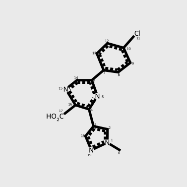 Cn1cc(-c2nc(-c3ccc(Cl)cc3)cnc2C(=O)O)cn1